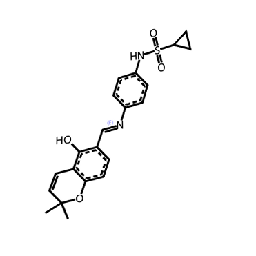 CC1(C)C=Cc2c(ccc(/C=N/c3ccc(NS(=O)(=O)C4CC4)cc3)c2O)O1